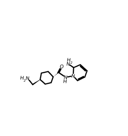 NC[C@H]1CC[C@H](C(=O)NN2C=CC=CC2N)CC1